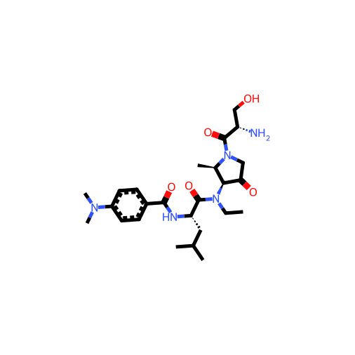 CCN(C(=O)[C@H](CC(C)C)NC(=O)c1ccc(N(C)C)cc1)[C@@H]1C(=O)CN(C(=O)[C@@H](N)CO)[C@@H]1C